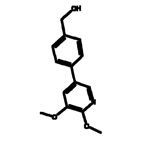 COc1cc(-c2ccc(CO)cc2)cnc1OC